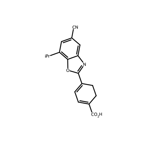 CC(C)c1cc(C#N)cc2nc(C3=CC=C(C(=O)O)CC3)oc12